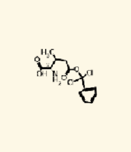 CC(CC(=O)OC(Cl)(Cl)c1ccccc1)[C@H](N)C(=O)O